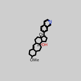 COC1CCC2=CC3CCC4(C)C(c5ccc6ccncc6c5)CCC4[C@@]3(O)CCC2C1